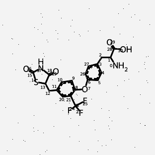 NC(Cc1ccc(Oc2ccc(CC3SC(=O)NC3=O)cc2C(F)(F)F)cc1)C(=O)O